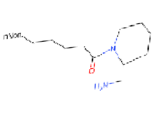 CCCCCCCCCCCCCC(=O)N1CCCCC1CN